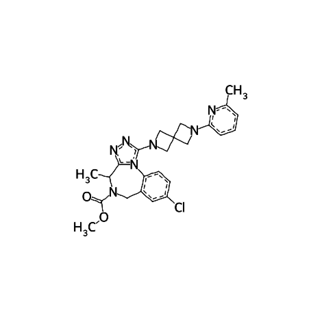 COC(=O)N1Cc2cc(Cl)ccc2-n2c(nnc2N2CC3(CN(c4cccc(C)n4)C3)C2)C1C